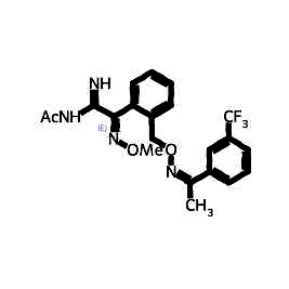 CO/N=C(/C(=N)NC(C)=O)c1ccccc1CON=C(C)c1cccc(C(F)(F)F)c1